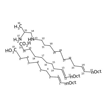 CCCCCCCCC=CCCCCCCCC(=O)O.CCCCCCCCC=CCCCCCCCC(=O)O.CCCCCCCCC=CCCCCCCCCNCC(C)N